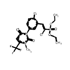 CCOP(=O)(OCC)C(Cl)=Cc1cc(-n2c(=O)cc(C(F)(F)F)n(C)c2=O)ccc1Cl